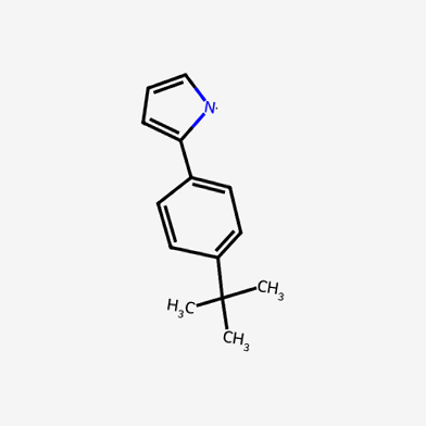 CC(C)(C)c1ccc(C2=CC=C[N]2)cc1